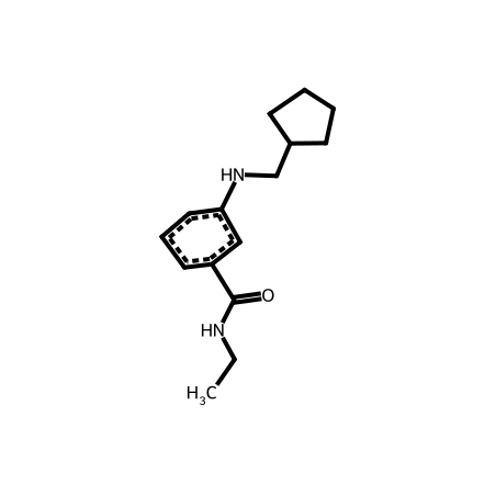 CCNC(=O)c1cccc(NCC2CCCC2)c1